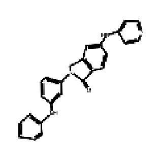 O=C1c2ccc(Nc3ccncc3)cc2CN1c1cccc(Nc2ccccc2)c1